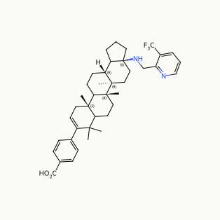 CC1(C)C(c2ccc(C(=O)O)cc2)=CC[C@@]2(C)C1CC[C@]1(C)C2CC[C@@H]2C3CCC[C@]3(NCc3ncccc3C(F)(F)F)CC[C@]21C